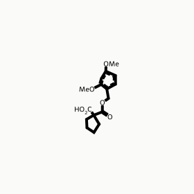 COc1ccc(COC(=O)C2(C(=O)O)CCCC2)c(OC)c1